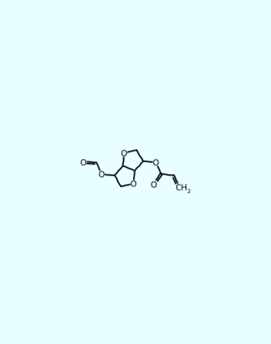 C=CC(=O)OC1COC2C(OC=O)COC12